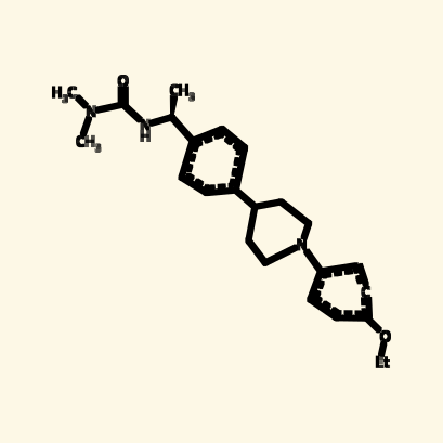 CCOc1ccc(N2CCC(c3ccc([C@H](C)NC(=O)N(C)C)cc3)CC2)cc1